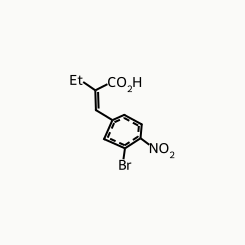 CCC(=Cc1ccc([N+](=O)[O-])c(Br)c1)C(=O)O